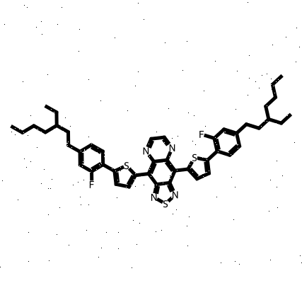 CCCCC(CC)CCc1ccc(-c2ccc(-c3c4nccnc4c(-c4ccc(-c5ccc(CCC(CC)CCCC)cc5F)s4)c4nsnc34)s2)c(F)c1